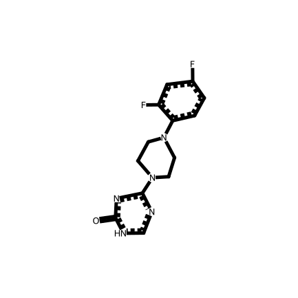 O=c1nc(N2CCN(c3ccc(F)cc3F)CC2)nc[nH]1